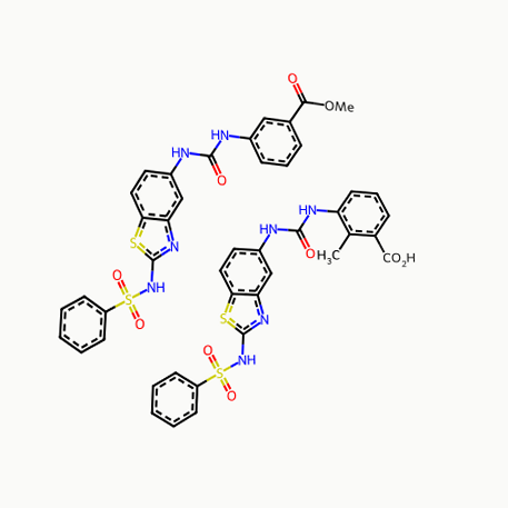 COC(=O)c1cccc(NC(=O)Nc2ccc3sc(NS(=O)(=O)c4ccccc4)nc3c2)c1.Cc1c(NC(=O)Nc2ccc3sc(NS(=O)(=O)c4ccccc4)nc3c2)cccc1C(=O)O